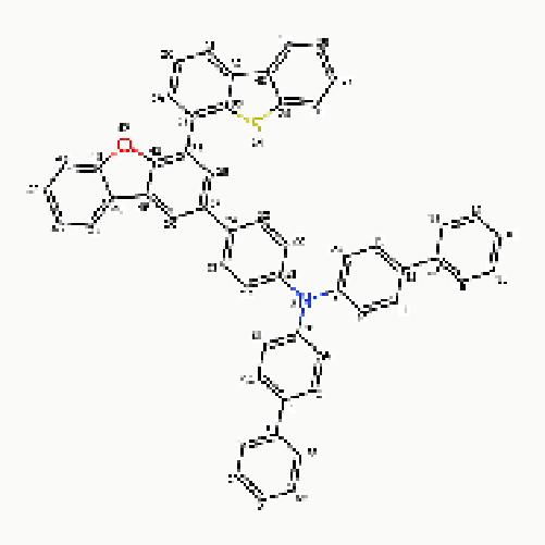 c1ccc(-c2ccc(N(c3ccc(-c4ccccc4)cc3)c3ccc(-c4cc(-c5cccc6c5sc5ccccc56)c5oc6ccccc6c5c4)cc3)cc2)cc1